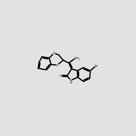 NC(=C1C(=O)Nc2ccc(Br)cc21)C1COc2ccccc2O1